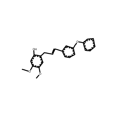 COc1cc(O)c(C/C=C/c2cccc(Oc3ccccc3)c2)cc1OC